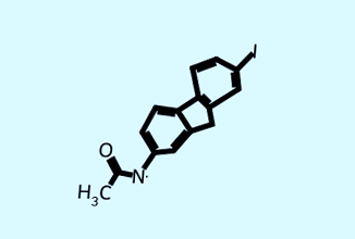 CC(=O)[N]c1ccc2c(c1)Cc1cc(I)ccc1-2